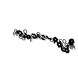 Cc1c(OCCCN2CCN(CC(=O)N3CCN(c4cc5c(cc4F)C(=O)N(C4CCC(=O)NC4=O)C5=O)CC3)CC2)cccc1-c1ccc(N2CCc3cccc(C(=O)Nc4nc5ccccc5s4)c3C2)nc1C(=O)O